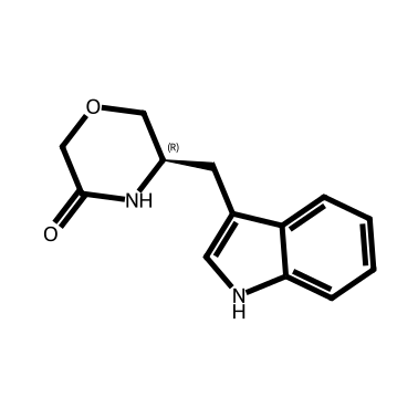 O=C1COC[C@@H](Cc2c[nH]c3ccccc23)N1